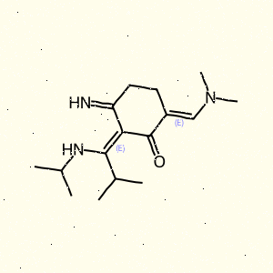 CC(C)N/C(=C1\C(=N)CC/C(=C\N(C)C)C1=O)C(C)C